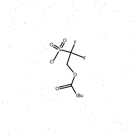 CC(C)(C)C(=O)OCC(F)(F)S(=O)(=O)Cl